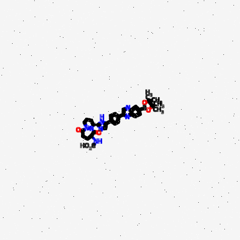 CC1(C)OB(c2ccc3nc(-c4ccc(-c5cnc([C@@H]6CCCN7C(=O)CC[C@H](NC(=O)O)C(=O)N67)[nH]5)cc4)cnc3c2)OC1(C)C